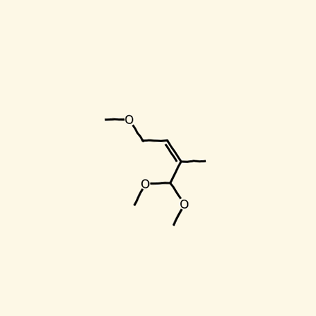 COCC=C(C)C(OC)OC